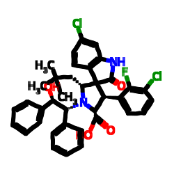 CC(C)(C)C[C@H]1N([C@H](c2ccccc2)[C@H](O)c2ccccc2)[C@@H](C(=O)O)[C@H](c2cccc(Cl)c2F)C12C(=O)Nc1cc(Cl)ccc12